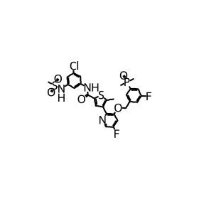 Cc1sc(C(=O)Nc2cc(Cl)cc(NS(C)(=O)=O)c2)cc1-c1ncc(F)cc1OCc1cc(F)cc(P(C)(C)=O)c1